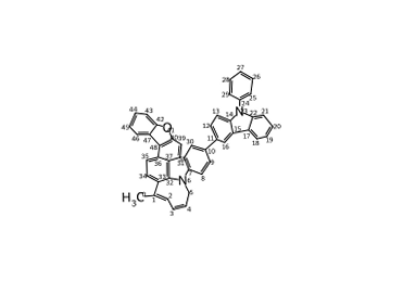 C/C1=C\C=C/CN(c2ccc(-c3ccc4c(c3)c3ccccc3n4-c3ccccc3)cc2)c2c1ccc1c2ccc2oc3ccccc3c21